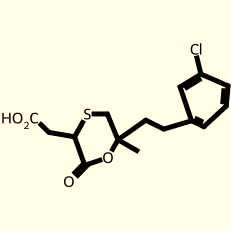 CC1(CCc2cccc(Cl)c2)CSC(CC(=O)O)C(=O)O1